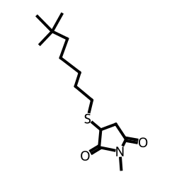 CN1C(=O)CC(SCCCCCC(C)(C)C)C1=O